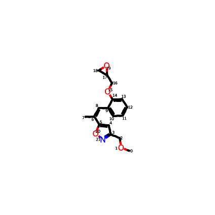 COCc1cc(/C(C)=C\c2ccccc2OCC2CO2)on1